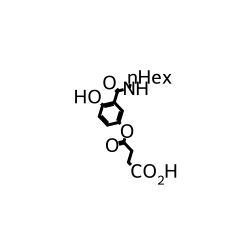 CCCCCCNC(=O)c1cc(OC(=O)CCC(=O)O)ccc1O